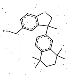 CC1(C)CCC(C)(C)c2cc(C3(C)COc4ccc(CO)cc43)ccc21